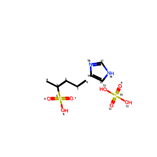 CCCC(C)S(=O)(=O)O.O=S(=O)(O)O.c1c[nH]cn1